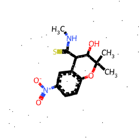 CNC(=S)C1c2cc([N+](=O)[O-])ccc2OC(C)(C)C1O